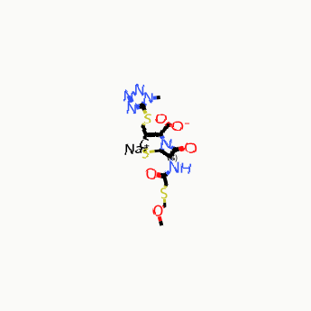 COCSCC(=O)N[C@H]1C(=O)N2C(C(=O)[O-])=C(CSc3nnnn3C)CSC12.[Na+]